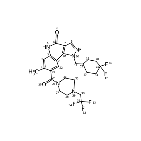 Cc1cc2[nH]c(=O)c3cnn(CC4CCC(F)(F)CC4)c3c2cc1C(=O)N1CCN(CC(F)(F)F)CC1